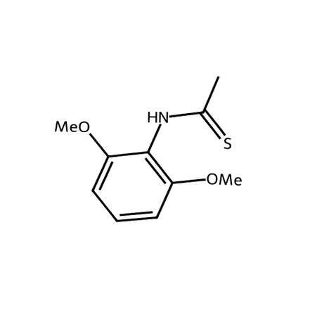 COc1cccc(OC)c1NC(C)=S